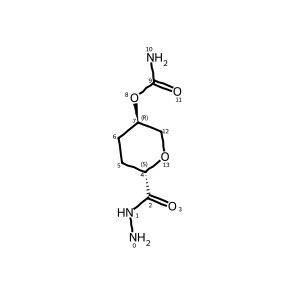 NNC(=O)[C@@H]1CC[C@@H](OC(N)=O)CO1